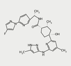 Cc1cc(Nc2cc(C)[nH]n2)nc([C@@]2(O)CC[C@H](C(=O)N[C@@H](C)c3ccc(-n4cc(F)cn4)nc3)[C@H](C)C2)c1